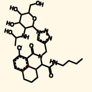 CCCCNC(=O)C(C1CCCCC1)N(Cc1cn(C2OC(CO)C(O)C(O)C2NC(C)O)nn1)C(=O)c1ccccc1Cl